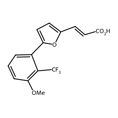 COc1cccc(-c2ccc(C=CC(=O)O)o2)c1C(F)(F)F